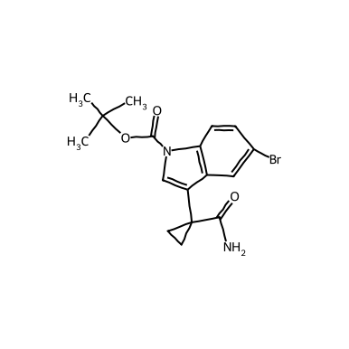 CC(C)(C)OC(=O)n1cc(C2(C(N)=O)CC2)c2cc(Br)ccc21